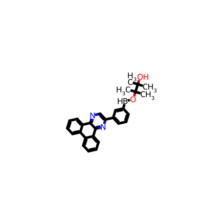 CC(C)(O)C(C)(C)OBc1cccc(-c2cnc3c4ccccc4c4ccccc4c3n2)c1